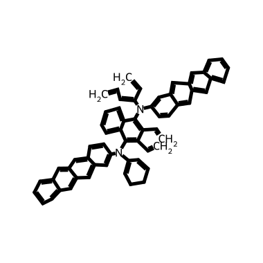 C=C/C=C(\C=C)N(c1ccc2cc3cc4ccccc4cc3cc2c1)c1c(C=C)c(C=C)c(N(C2=CCCC=C2)c2ccc3cc4cc5ccccc5cc4cc3c2)c2ccccc12